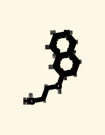 OCCOc1ccc2cnccc2c1